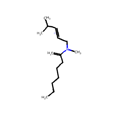 C=C(CCCCCC)N(C)C/C=C/C(C)C